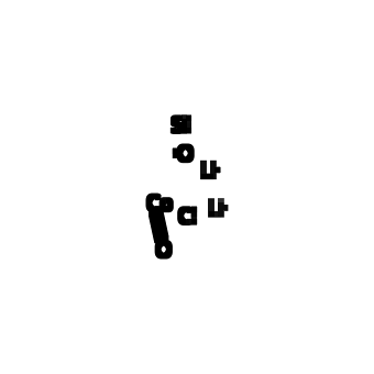 [C].[Li].[Li].[O].[O]=[Co].[Si]